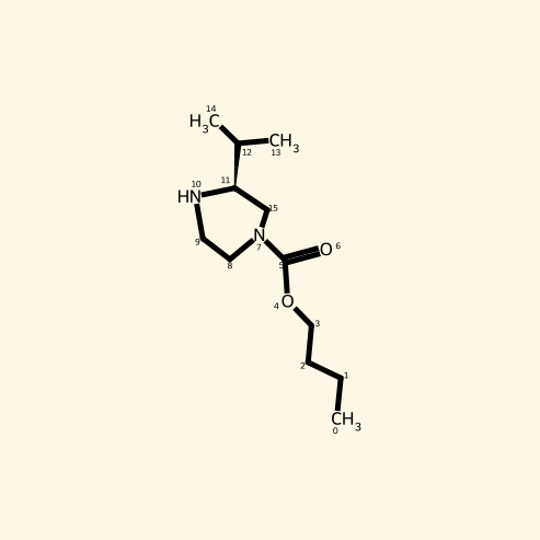 CCCCOC(=O)N1CCN[C@@H](C(C)C)C1